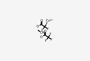 CC#N.O=C([O-])C(F)(F)F.O=C([O-])C(F)(F)F.[Cu+2]